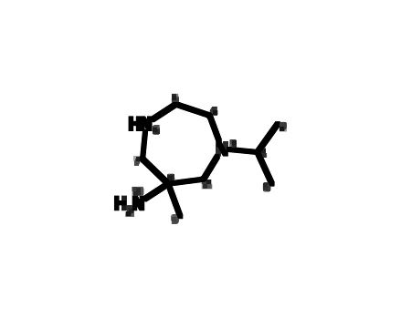 CC(C)N1CCNCC(C)(N)C1